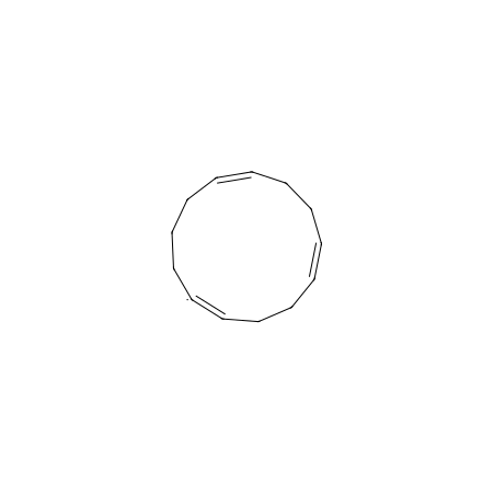 [C]1=CCCC=CCCC=CCCC1